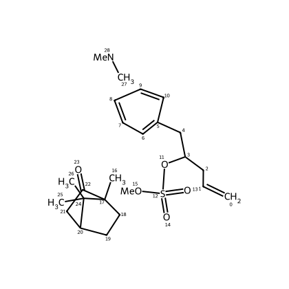 C=CCC(Cc1ccccc1)OS(=O)(=O)OC.CC12CCC(CC1=O)C2(C)C.CNC